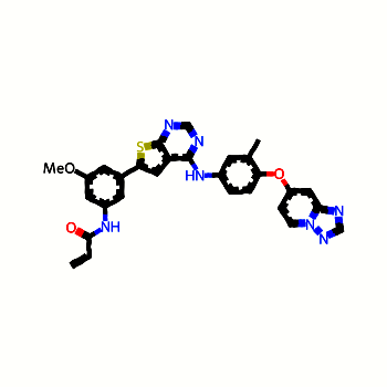 C=CC(=O)Nc1cc(OC)cc(-c2cc3c(Nc4ccc(Oc5ccn6ncnc6c5)c(C)c4)ncnc3s2)c1